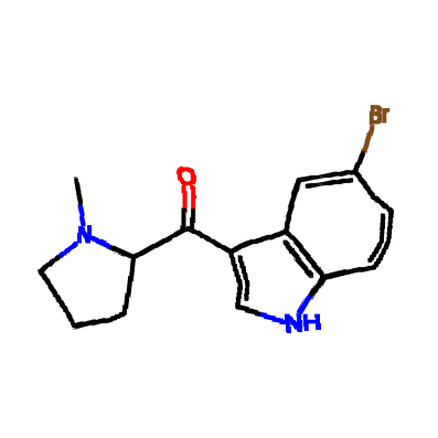 CN1CCCC1C(=O)c1c[nH]c2ccc(Br)cc12